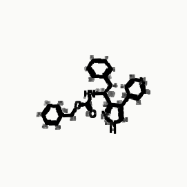 O=C(N[C@@H](Cc1ccccc1)c1n[nH]cc1-c1ccncc1)OCc1ccccc1